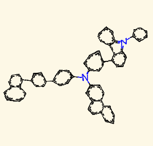 c1ccc(-n2c3ccccc3c3c(-c4cccc(N(c5ccc(-c6ccc(-c7cccc8ccccc78)cc6)cc5)c5ccc6c(ccc7ccccc76)c5)c4)cccc32)cc1